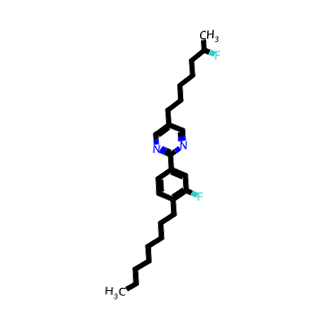 CCCCCCCCc1ccc(-c2ncc(CCCCCC(C)F)cn2)cc1F